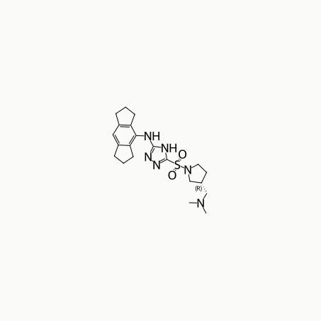 CN(C)C[C@H]1CCN(S(=O)(=O)c2nnc(Nc3c4c(cc5c3CCC5)CCC4)[nH]2)C1